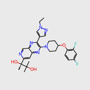 CCn1cc(-c2nc3cnc([C@@](C)(O)C(C)(C)O)cc3nc2N2CCC(Oc3ccc(F)cc3F)CC2)cn1